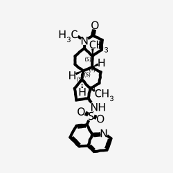 CN1C(=O)C=C[C@@]2(C)C1CC[C@@H]1[C@H]2CC[C@]2(C)C(NS(=O)(=O)c3cccc4cccnc34)CC[C@@H]12